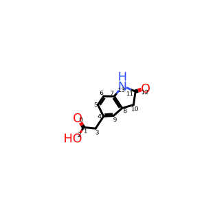 O=C(O)Cc1ccc2c(c1)CC(=O)N2